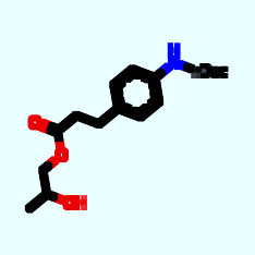 CCCCCCCCCCNc1ccc(CCC(=O)OCC(C)O)cc1